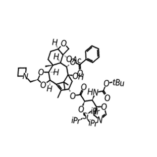 CC(=O)O[C@@]12CO[C@@H]1CC[C@@]1(C)[C@@H]3O[C@H](CN4CCC4)O[C@@H]3C3=C(C)[C@@H](OC(=O)[C@H](O[Si](C(C)C)(C(C)C)C(C)C)[C@@H](NC(=O)OC(C)(C)C)c4cnco4)C[C@@](O)([C@@H](OC(=O)c4ccccc4)[C@@H]12)C3(C)C